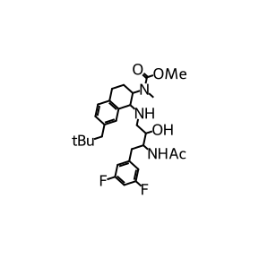 COC(=O)N(C)C1CCc2ccc(CC(C)(C)C)cc2C1NCC(O)C(Cc1cc(F)cc(F)c1)NC(C)=O